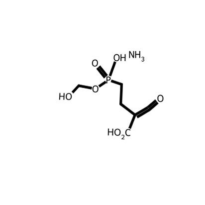 N.O=C=C(CCP(=O)(O)OCO)C(=O)O